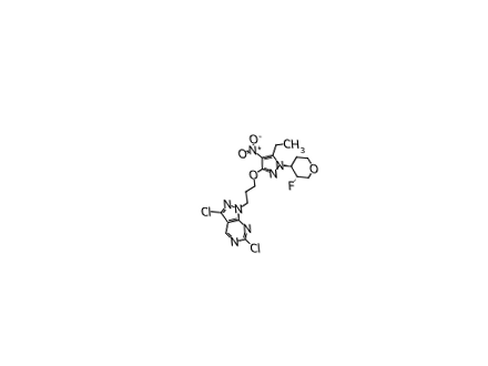 CCc1c([N+](=O)[O-])c(OCCCn2nc(Cl)c3cnc(Cl)nc32)nn1[C@H]1CCOC[C@@H]1F